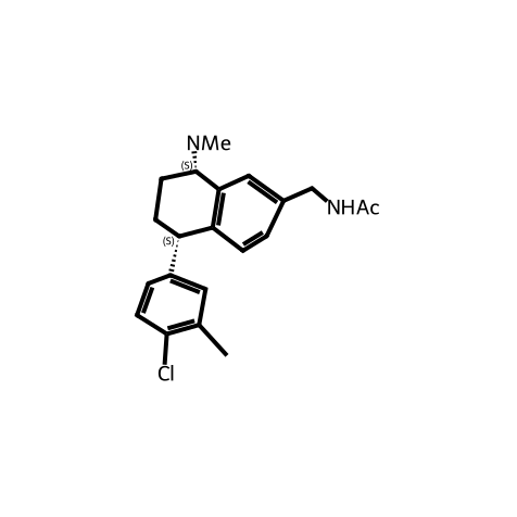 CN[C@H]1CC[C@@H](c2ccc(Cl)c(C)c2)c2ccc(CNC(C)=O)cc21